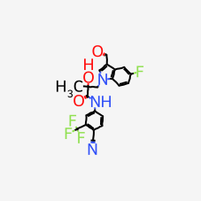 CC(O)(Cn1cc(C=O)c2cc(F)ccc21)C(=O)Nc1ccc(C#N)c(C(F)(F)F)c1